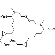 CCCCCCCCCCCC1CC1CCCCC(CCCCCCCC)N(C)CCSSCCN(C)C(CCCCCCCC)CCCCC1CC1CCCCCCCCCCC